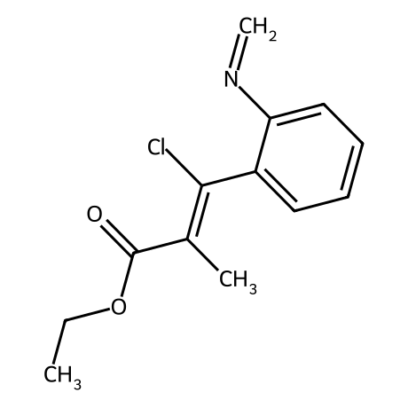 C=Nc1ccccc1/C(Cl)=C(\C)C(=O)OCC